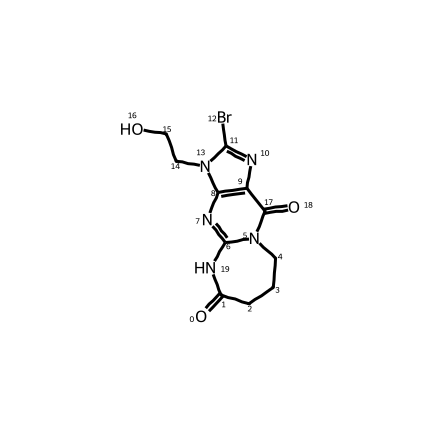 O=C1CCCn2c(nc3c(nc(Br)n3CCO)c2=O)N1